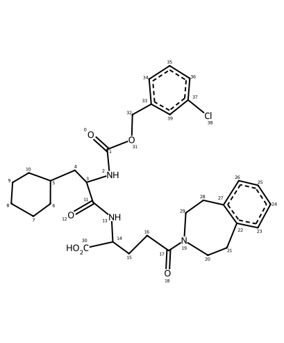 O=C(NC(CC1CCCCC1)C(=O)NC(CCC(=O)N1CCc2ccccc2CC1)C(=O)O)OCc1cccc(Cl)c1